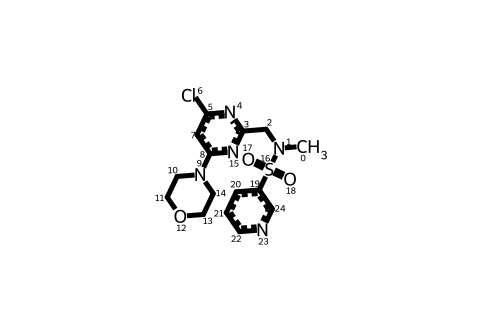 CN(Cc1nc(Cl)cc(N2CCOCC2)n1)S(=O)(=O)c1cccnc1